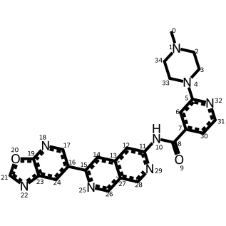 CN1CCN(c2cc(C(=O)Nc3cc4cc(-c5cnc6ocnc6c5)ncc4cn3)ccn2)CC1